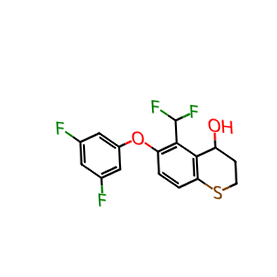 OC1CCSc2ccc(Oc3cc(F)cc(F)c3)c(C(F)F)c21